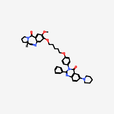 COc1cc2c(cc1OCCCCCOc1ccc(-n3c(-c4ccccc4)nc4ccc(N5CCCCC5)cc4c3=O)cc1)N=C[C@@H]1CCCN1C2=O